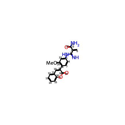 C=C(C(=N)Nc1ccc(-c2cc3ccccc3oc2=O)c(OC)c1)C(N)=O